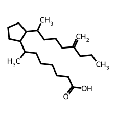 C=C(CCC)CCCC(C)C1CCCC1C(C)CCCCCC(=O)O